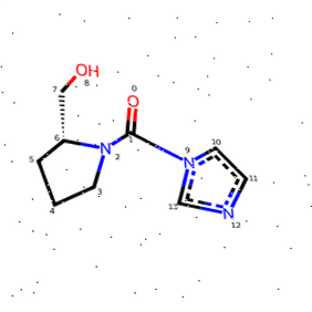 O=C(N1CCC[C@@H]1CO)n1ccnc1